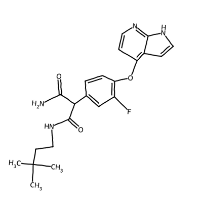 CC(C)(C)CCNC(=O)C(C(N)=O)c1ccc(Oc2ccnc3[nH]ccc23)c(F)c1